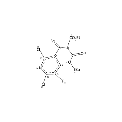 CCOC(=O)C(C(=O)OC(C)(C)C)C(=O)c1cc(F)c(Cl)nc1Cl